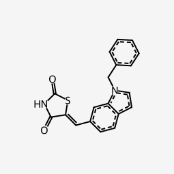 O=C1NC(=O)C(=Cc2ccc3ccn(Cc4ccccc4)c3c2)S1